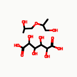 CC(O)COC(C)CO.O=C(O)C(O)C(O)C(O)C(O)C(=O)O